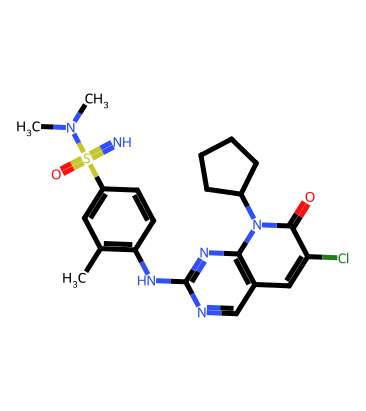 Cc1cc(S(=N)(=O)N(C)C)ccc1Nc1ncc2cc(Cl)c(=O)n(C3CCCC3)c2n1